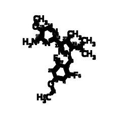 CCOc1cc(F)c(Cn2nc(-c3ncc(OC)c(N)n3)c(C)c2N(C)C)c(F)c1